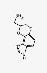 NCC1COc2ccc3[nH]cnc3c2O1